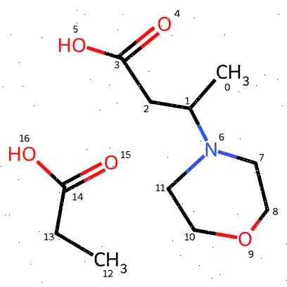 CC(CC(=O)O)N1CCOCC1.CCC(=O)O